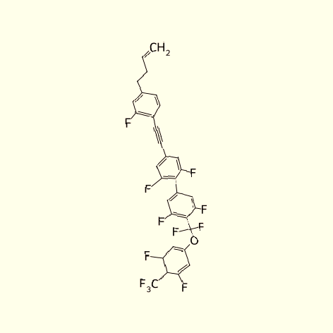 C=CCCc1ccc(C#Cc2cc(F)c(-c3cc(F)c(C(F)(F)OC4=CC(F)C(C(F)(F)F)C(F)=C4)c(F)c3)c(F)c2)c(F)c1